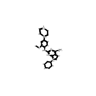 COc1cc(N2CCOCC2)ccc1Nc1nc(N)c2ccn(C3CCCCC3)c2n1